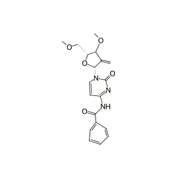 C=C1C(OC)[C@@H](COC)O[C@H]1n1ccc(NC(=O)c2ccccc2)nc1=O